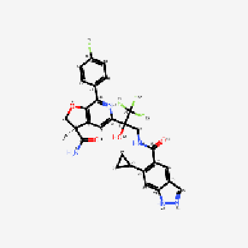 C[C@]1(C(N)=O)COc2c1cc(C(O)(CNC(=O)c1cc3cn[nH]c3cc1C1CC1)C(F)(F)F)nc2-c1ccc(F)cc1